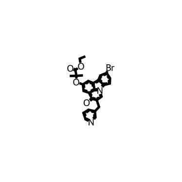 CCOC(=O)C(C)(C)Oc1cc2c(=O)c(Cc3cccnc3)cn3c4ccc(Br)cc4c(c1)c23